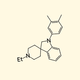 CCN1CCC2(CC1)CN(c1ccc(C)c(C)c1)c1ccccc12